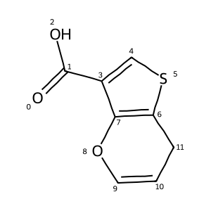 O=C(O)c1csc2c1OC=CC2